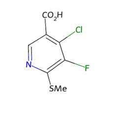 CSc1ncc(C(=O)O)c(Cl)c1F